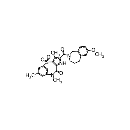 COc1ccc2c(c1)CCCN(C(=O)c1[nH]c3c(c1C)S(=O)(=O)c1cc(C)cc(c1)N(C)C3=O)C2